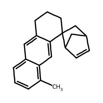 Cc1cccc2cc3c(cc12)C1(CCC3)CC2C=CC1C2